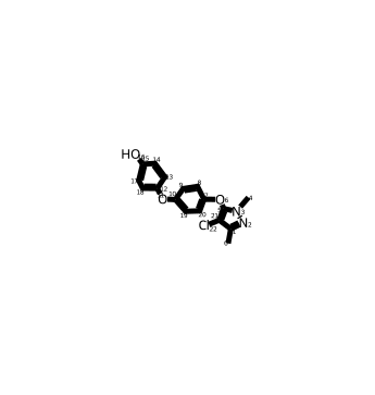 Cc1nn(C)c(Oc2ccc(Oc3ccc(O)cc3)cc2)c1Cl